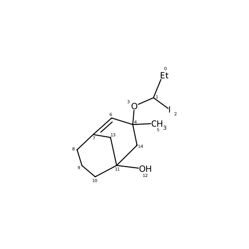 CCC(I)OC1(C)C=C2CCCC(O)(C2)C1